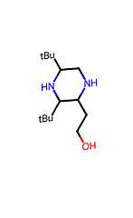 CC(C)(C)C1CNC(CCO)C(C(C)(C)C)N1